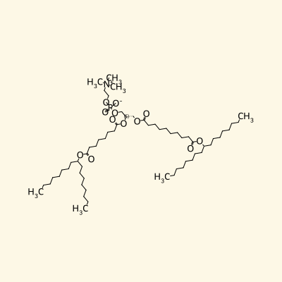 CCCCCCCCC(CCCCCCCC)OC(=O)CCCCCCCCC(=O)OC[C@@H](COP(=O)([O-])OCC[N+](C)(C)C)OC(=O)CCCCCCC(=O)OC(CCCCCCCC)CCCCCCCC